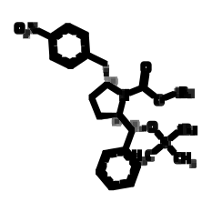 CC(C)(C)OC(=O)N1[C@@H](Cc2ccc([N+](=O)[O-])cc2)CC[C@@H]1[C@H](O[Si](C)(C)C(C)(C)C)c1ccccc1